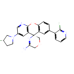 NC1=N[C@@]2(COC1)c1cc(-c3cccnc3F)ccc1Oc1ncc(N3CC[C@@H](F)C3)cc12